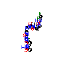 CC(C)(NC(=O)c1cccc(C2CCCN(C(=O)CNCc3ccc(F)cc3F)C2)c1)C(=O)N1CCN(CC2CCN(CC(=O)N3CCN(C(=O)c4cc(Cc5n[nH]c(=O)c6ccccc56)ccc4F)CC3)CC2)CC1